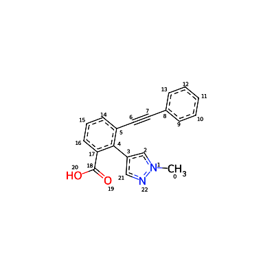 Cn1cc(-c2c(C#Cc3ccccc3)cccc2C(=O)O)cn1